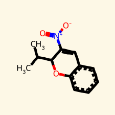 CC(C)C1Oc2ccccc2C=C1[N+](=O)[O-]